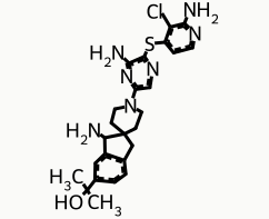 CC(C)(O)c1ccc2c(c1)C(N)C1(CCN(c3cnc(Sc4ccnc(N)c4Cl)c(N)n3)CC1)C2